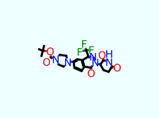 CC(C)(C)OC(=O)N1CCN(c2ccc3c(=O)n(C4CCC(=O)NC4=O)nc(C(F)(F)F)c3c2)CC1